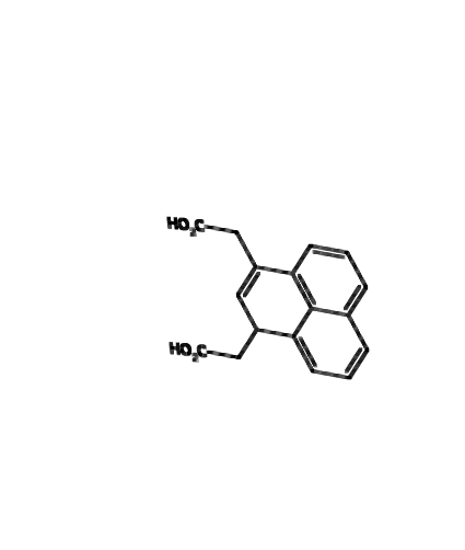 O=C(O)CC1=CC(CC(=O)O)c2cccc3cccc1c23